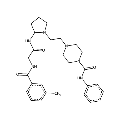 O=C(CNC(=O)c1cccc(C(F)(F)F)c1)NC1CCCN1CCN1CCN(C(=O)Nc2ccccc2)CC1